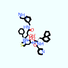 NCc1cccc(CNC(=O)C[C@H](O)[C@H](CC2CCCCC2)NC(=O)C(Cc2cscn2)NC(=O)[C@H](Cc2cccc3ccccc23)NC(=O)c2cccnc2)c1